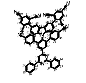 N#Cc1ccc(-c2cc(-c3cc(-c4ccccc4)nc(-c4ccccc4)n3)cc(-c3ccc(C#N)cc3)c2-n2c3ccc(-c4c(C#N)cc(C#N)cc4C#N)cc3c3cc(-c4c(C#N)cc(C#N)cc4C#N)ccc32)cc1